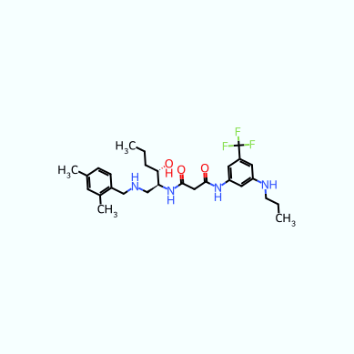 CCCNc1cc(NC(=O)CC(=O)N[C@@H](CNCc2ccc(C)cc2C)[C@@H](O)CCC)cc(C(F)(F)F)c1